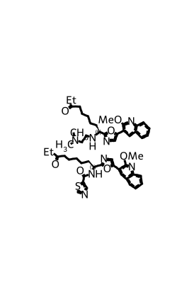 CCC(=O)CCCCC[C@H](NC(=O)c1cncs1)c1ncc(-c2cc3ccccc3nc2OC)o1.CCC(=O)CCCCC[C@H](NCCN(C)C)c1ncc(-c2cc3ccccc3nc2OC)o1